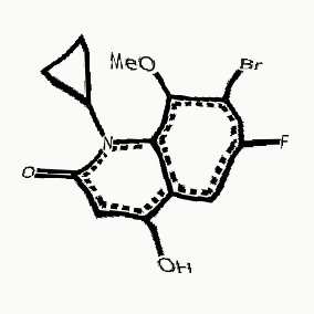 COc1c(Br)c(F)cc2c(O)cc(=O)n(C3CC3)c12